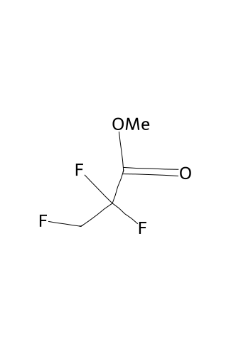 COC(=O)C(F)(F)CF